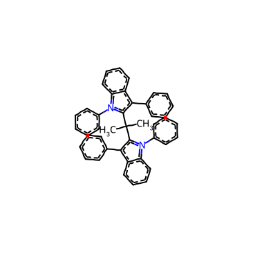 CC(C)(c1c(-c2ccccc2)c2ccccc2n1-c1ccccc1)c1c(-c2ccccc2)c2ccccc2n1-c1ccccc1